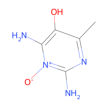 Cc1nc(N)[n+]([O-])c(N)c1O